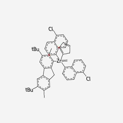 [CH2]=[Zr]([C]1=CC=CC1)([c]1c(C)c(C(C)(C)C)cc2c1Cc1cc(C)c(C(C)(C)C)cc1-2)([c]1cccc2c(Cl)cccc12)[c]1cccc2c(Cl)cccc12